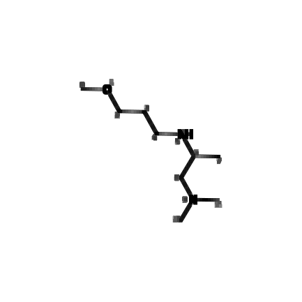 COCCCNC(C)CN(C)C